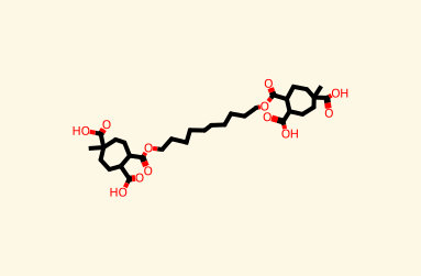 CC1(C(=O)O)CCC(C(=O)O)C(C(=O)OCCCCCCCCCCOC(=O)C2CCC(C)(C(=O)O)CCC2C(=O)O)CC1